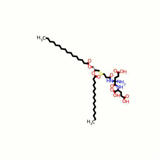 CCCCCCCCCCCCCCCC(=O)OC[C@H](CSCCC(=O)N[C@](N)(CCC(=O)O)C(=O)NC(CCC(=O)O)C(=O)O)OC(=O)CCCCCCCCCCCCCCC